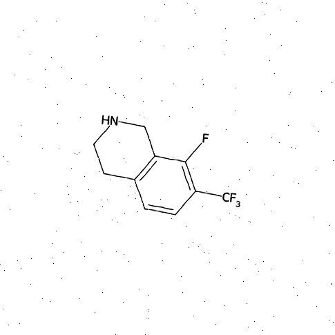 Fc1c(C(F)(F)F)ccc2c1CNCC2